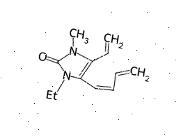 C=C/C=C\c1c(C=C)n(C)c(=O)n1CC